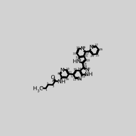 CCCCC(=O)Nc1cncc(-c2cnc3[nH]nc(-c4cc5c(-c6ccccn6)nccc5[nH]4)c3c2)c1